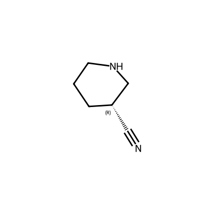 N#C[C@@H]1CCCNC1